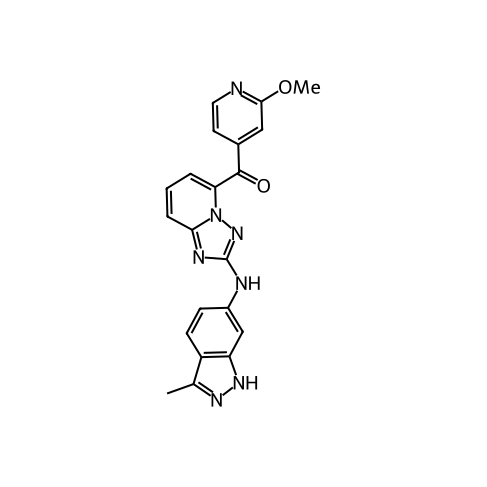 COc1cc(C(=O)c2cccc3nc(Nc4ccc5c(C)n[nH]c5c4)nn23)ccn1